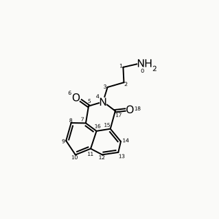 NCCCN1C(=O)c2cccc3cccc(c23)C1=O